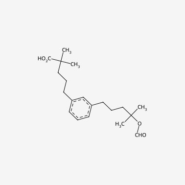 CC(C)(CCCc1cccc(CCCC(C)(C)C(=O)O)c1)OC=O